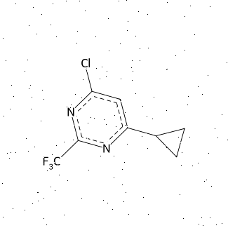 FC(F)(F)c1nc(Cl)cc(C2CC2)n1